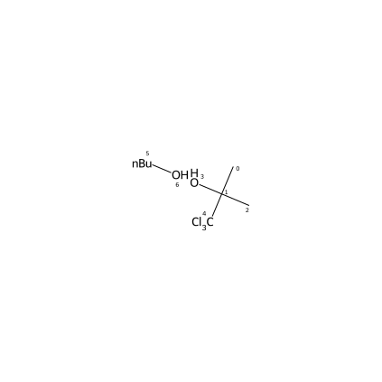 CC(C)(O)C(Cl)(Cl)Cl.CCCCO